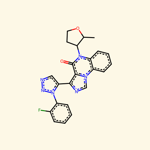 CC1OCCC1n1c(=O)c2c(-c3cnnn3-c3ccccc3F)ncn2c2ccccc21